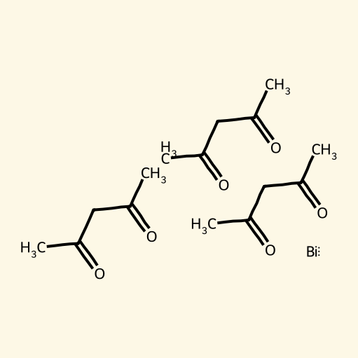 CC(=O)CC(C)=O.CC(=O)CC(C)=O.CC(=O)CC(C)=O.[Bi]